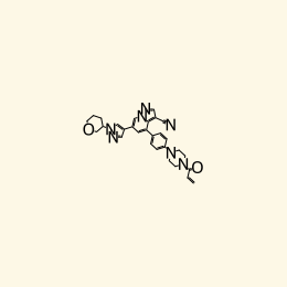 C=CC(=O)N1CCN(c2ccc(-c3cc(-c4cnn(C5CCCOC5)c4)cn4ncc(C#N)c34)cc2)CC1